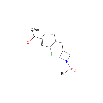 CCC(=O)N1CC(Cc2ccc(C(=O)OC)cc2F)C1